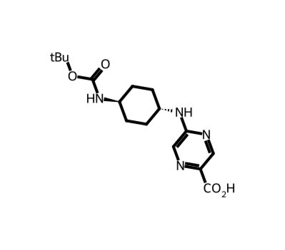 CC(C)(C)OC(=O)N[C@H]1CC[C@H](Nc2cnc(C(=O)O)cn2)CC1